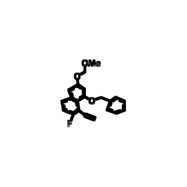 C#Cc1c(F)ccc2cc(OCOC)cc(OCc3ccccc3)c12